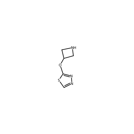 c1nnc(OC2CNC2)s1